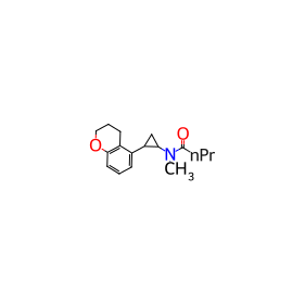 CCCC(=O)N(C)C1CC1c1cccc2c1CCCO2